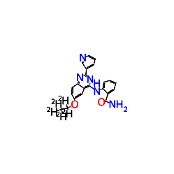 [2H]C([2H])([2H])C([2H])([2H])Oc1ccc2nc(-c3cccnc3)nc(Nc3ccccc3C(N)=O)c2c1